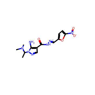 CC(N(C)C)n1ncc(C(=O)N/N=C/c2ccc([N+](=O)[O-])o2)c1N